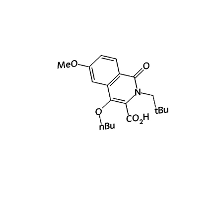 CCCCOc1c(C(=O)O)n(CC(C)(C)C)c(=O)c2ccc(OC)cc12